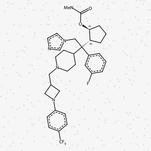 CNC(=O)O[C@H]1CCC[C@@H]1C(Cn1ccnc1)(c1cccc(F)c1)C1CCN(CC2CN(c3ccc(C(F)(F)F)cc3)C2)CC1